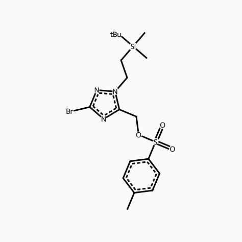 Cc1ccc(S(=O)(=O)OCc2nc(Br)nn2CC[Si](C)(C)C(C)(C)C)cc1